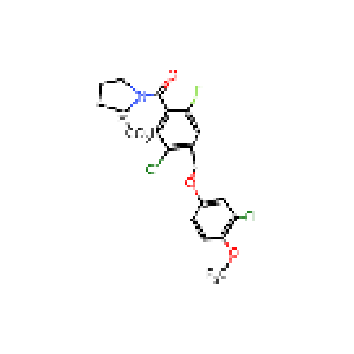 O=C(O)[C@@H]1CCCN1C(=O)c1cc(Cl)c(COc2ccc(OC(F)(F)F)c(Cl)c2)cc1F